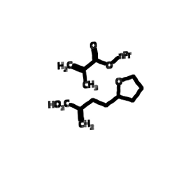 C=C(C)C(=O)OCCC.C=C(CCC1CCCO1)C(=O)O